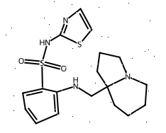 O=S(=O)(Nc1nccs1)c1ccccc1NCC12CCCCN1CCC2